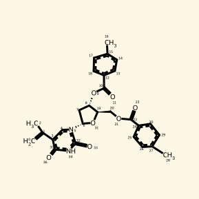 C=C(C)c1cn([C@@H]2C[C@H](OC(=O)c3ccc(C)cc3)[C@@H](COC(=O)c3ccc(C)cc3)O2)c(=O)[nH]c1=O